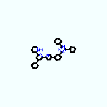 C1=CNC(c2cc(-c3ccccc3)cc(-c3ccc(-c4cccc(-c5nc(-c6ccccc6)nc(-c6ccccc6)n5)c4)cn3)n2)C=C1